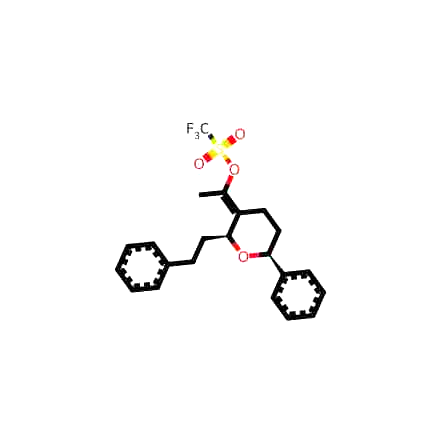 C/C(OS(=O)(=O)C(F)(F)F)=C1/CC[C@@H](c2ccccc2)O[C@H]1CCc1ccccc1